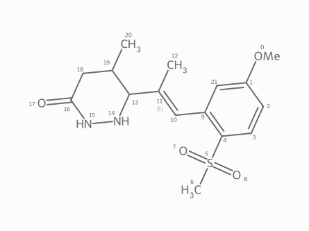 COc1ccc(S(C)(=O)=O)c(/C=C(\C)C2NNC(=O)CC2C)c1